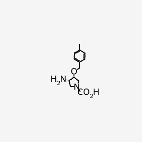 Cc1ccc(CO[C@H]2CN(C(=O)O)C[C@@H]2N)cc1